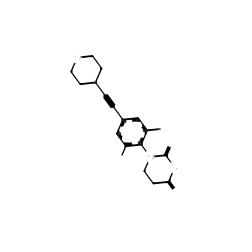 O=C1CCN(c2c(F)cc(C#CC3CCNCC3)cc2F)C(=O)N1